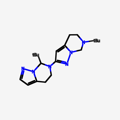 CC(C)(C)C1N(c2cc3n(n2)CN(C(C)(C)C)CC3)CCc2ccnn21